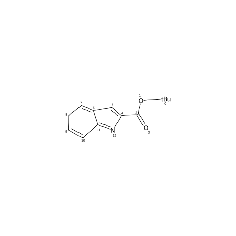 CC(C)(C)OC(=O)C1=CC2=CCC=CC2=N1